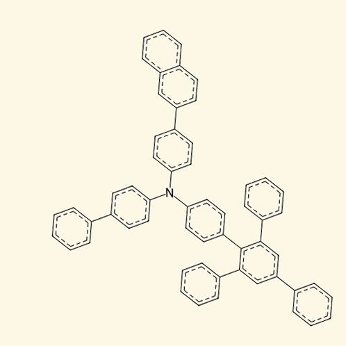 c1ccc(-c2ccc(N(c3ccc(-c4ccc5ccccc5c4)cc3)c3ccc(-c4c(-c5ccccc5)cc(-c5ccccc5)cc4-c4ccccc4)cc3)cc2)cc1